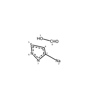 O=CO.[Na][c]1csnn1